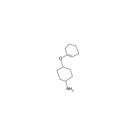 NC1CCC(OC2=CCCCC2)CC1